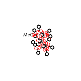 COc1ccc(O[C@H]2OC[C@H](OCc3ccc4ccccc4c3)[C@@H](O[C@@H]3O[C@H](COC(=O)c4ccccc4)[C@@H](OC(=O)c4ccccc4)[C@H](OC(=O)c4ccccc4)[C@H]3OC(=O)c3ccccc3)[C@@H]2O[C@@H]2O[C@H](COC(=O)c3ccccc3)[C@@H](OC(=O)c3ccccc3)[C@H](OC(=O)c3ccccc3)[C@H]2OC(=O)c2ccccc2)cc1